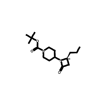 CCC[C@H]1CC(=O)N1C1CCN(C(=O)OC(C)(C)C)CC1